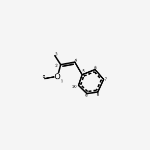 CO/C(C)=C\c1ccccc1